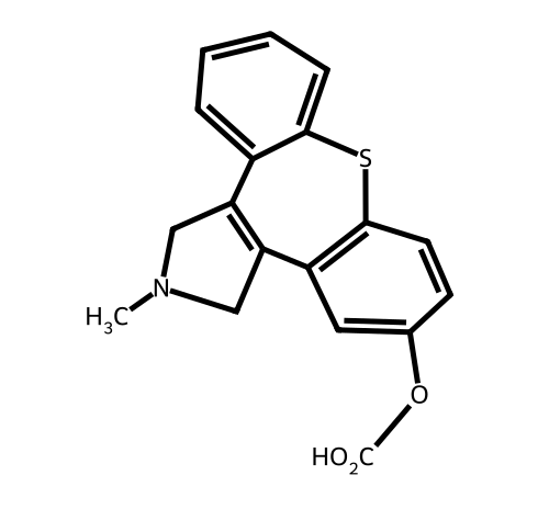 CN1CC2=C(C1)c1cc(OC(=O)O)ccc1Sc1ccccc12